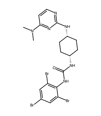 CN(C)c1ccnc(N[C@H]2CC[C@@H](NC(=O)Nc3c(Br)cc(Br)cc3Br)CC2)n1